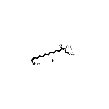 CCCCCC/C=C\CCCCCCCCCC(=O)N(C)CC(=O)O.[K]